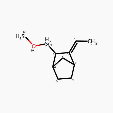 CC=C1C2CCC(C2)C1[SiH2]O[SiH3]